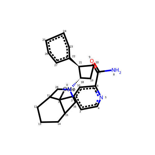 COC1(c2ccnc(C(N)=O)c2)C2CCCC1CN([C@H]1CC[C@@H]1c1ccccc1)C2